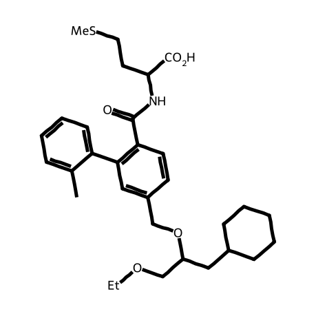 CCOCC(CC1CCCCC1)OCc1ccc(C(=O)NC(CCSC)C(=O)O)c(-c2ccccc2C)c1